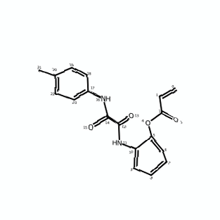 C=CC(=O)Oc1ccccc1NC(=O)C(=O)Nc1ccc(C)cc1